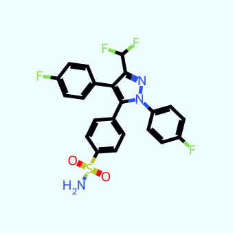 NS(=O)(=O)c1ccc(-c2c(-c3ccc(F)cc3)c(C(F)F)nn2-c2ccc(F)cc2)cc1